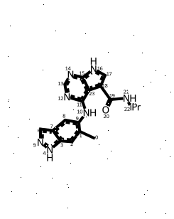 Cc1cc2[nH]ncc2cc1Nc1ncnc2[nH]cc(C(=O)NC(C)C)c12